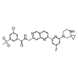 CS(=O)(=O)c1cc(Cl)cc(C(=O)NCc2cc3nc(-c4cc(F)cc(N5CCNC6(CC6)C5)n4)ccc3cn2)c1